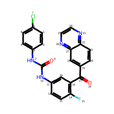 O=C(Nc1ccc(Cl)cc1)Nc1ccc(F)c(C(=O)c2ccc3nccnc3c2)c1